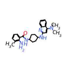 Cc1cccc(C(=O)NC2CCC(Nc3cc(N(C)C)c4ccccc4n3)CC2)c1N